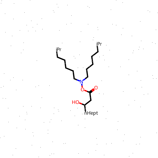 CCCCCCCC(O)CC(=O)ON(CCCCCC(C)C)CCCCCC(C)C